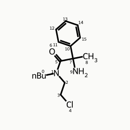 CCCCN(CCCl)C(=O)C(C)(N)c1ccccc1